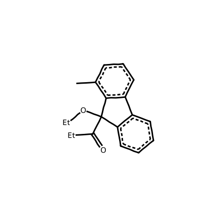 CCOC1(C(=O)CC)c2ccccc2-c2cccc(C)c21